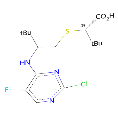 CC(C)(C)C(CS[C@H](C(=O)O)C(C)(C)C)Nc1nc(Cl)ncc1F